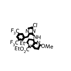 CCOC(=O)N1c2ccc(OC)nc2[C@@H](Nc2nc(Cl)cnc2Cc2cc(C(F)(F)F)cc(C(F)(F)F)c2)C[C@H]1CC